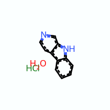 Cl.O.c1ccc2c(c1)[nH]c1cnccc12